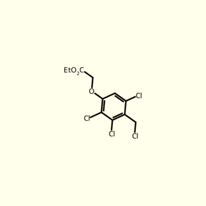 CCOC(=O)COc1cc(Cl)c(CCl)c(Cl)c1Cl